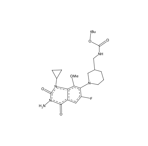 COc1c(N2CCCC(CNC(=O)OC(C)(C)C)C2)c(F)cc2c(=O)n(N)c(=O)n(C3CC3)c12